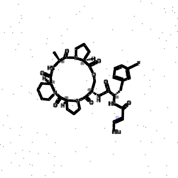 CCCC/C=C/C(=O)N[C@@H](Cc1cccc(F)c1)C(=O)N[C@H]1COC(=O)[C@@H]2CCCN2C(=O)[C@H](C)NC(=O)[C@H]2CCCCN2C(=O)[C@@H]2CCCN2C1=O